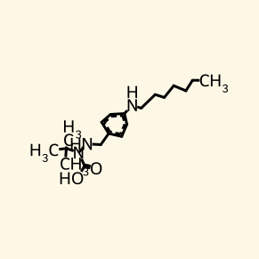 CCCCCCCNc1ccc(CNN(C(=O)O)C(C)(C)C)cc1